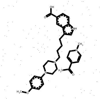 CN1C=CC(C(N)=O)=CC1.COc1ccc(N2CCN(CCCCc3c[nH]c4ccc(C(=O)O)cc34)CC2)cc1